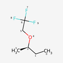 CC[C@@H](C)OCC(F)(F)F